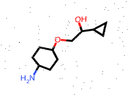 NC1CCC(OCC(O)C2CC2)CC1